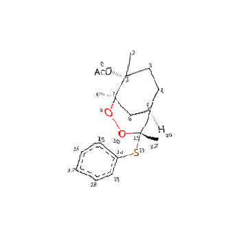 CC(=O)O[C@]1(C)CC[C@@H]2C[C@@]1(C)OO[C@@]2(C)Sc1ccccc1